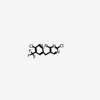 Nc1nc(Cl)ncc1Cc1ccc(Cl)c(C(F)(F)F)c1